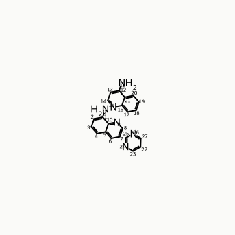 Nc1cccc2cccnc12.Nc1ccnc2ccccc12.c1cncnc1